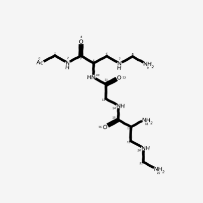 CC(=O)CNC(=O)C(CNCN)NC(=O)CNC(=O)C(N)CNCN